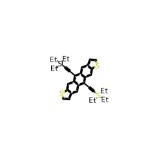 CC[Si](C#Cc1c2cc3ccsc3cc2c(C#CS(CC)(CC)CC)c2cc3ccsc3cc12)(CC)CC